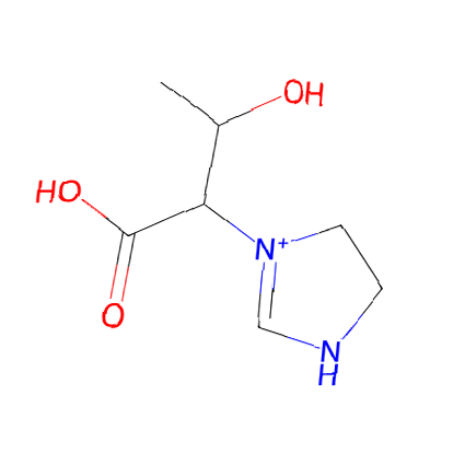 CC(O)C(C(=O)O)[N+]1=CNCC1